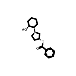 O=C(O[C@@H]1CCN([C@@H]2CCCC[C@@H]2O)C1)c1ccccc1